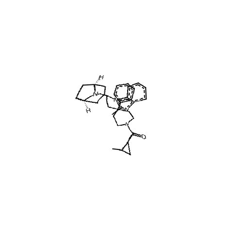 Cc1nc2ccccc2n1C1C[C@H]2CC[C@@H](C1)N2CCC1(c2ccccc2)CCN(C(=O)C2CC2C)CC1